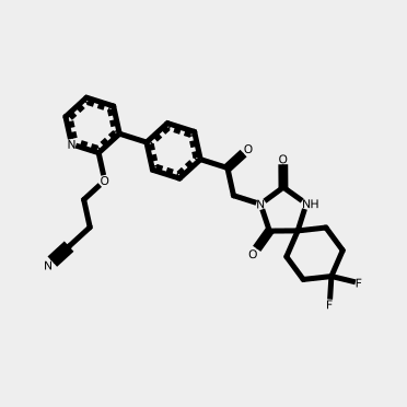 N#CCCOc1ncccc1-c1ccc(C(=O)CN2C(=O)NC3(CCC(F)(F)CC3)C2=O)cc1